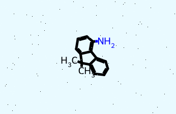 CC1(C)c2ccccc2-c2c(N)cccc21